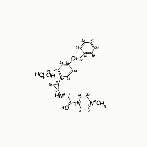 CN1CCN(C(=O)CNC2CC2c2ccc(OCc3ccccc3)cc2)CC1.Cl.Cl